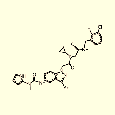 CC(=O)c1nn(CC(=O)N(CC(=O)NCc2cccc(Cl)c2F)C2CC2)c2ccc(NC(=O)Nc3ccc[nH]3)cc12